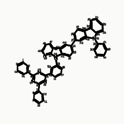 c1ccc(-c2nc(-c3ccccc3)nc(-c3cccc(-n4c5ccc(-c6ccc7c8ccccc8n(-c8ccccc8)c7c6)cc5c5cccnc54)c3)n2)cc1